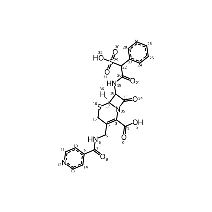 O=C(O)C1=C(CNC(=O)c2ccncc2)CS[C@H]2C(NC(=O)C(c3ccccc3)S(=O)(=O)O)C(=O)N12